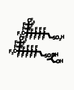 CC(O)CO.O=S(=O)(O)CCC(F)(F)C(F)(F)C(F)(F)C(F)(F)C(F)(C(F)(F)F)C(F)(F)C(F)(F)C(F)(F)F.O=S(=O)(O)CCC(F)(F)C(F)(F)C(F)(F)C(F)(F)C(F)(C(F)(F)F)C(F)(F)C(F)(F)C(F)(F)F